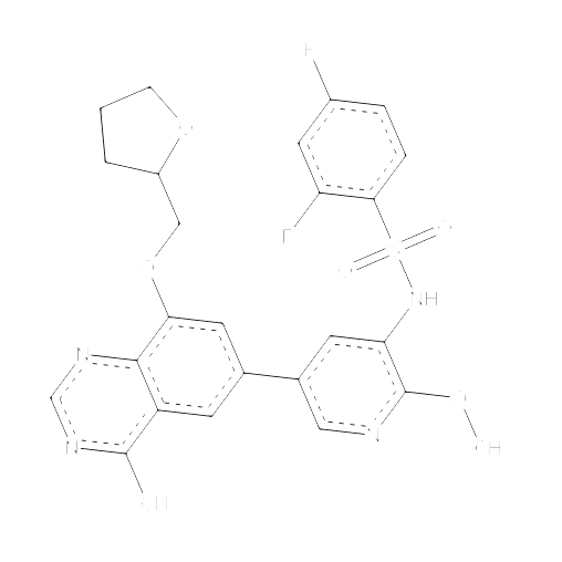 COc1ncc(-c2cc(OCC3CCCO3)c3ncnc(C)c3c2)cc1NS(=O)(=O)c1ccc(F)cc1F